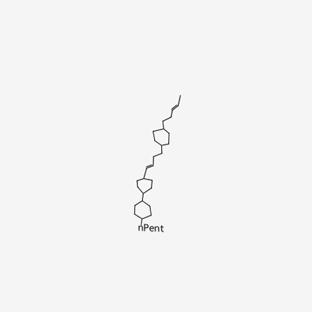 CC=CCCC1CCC(CCC=CC2CCC(C3CCC(CCCCC)CC3)CC2)CC1